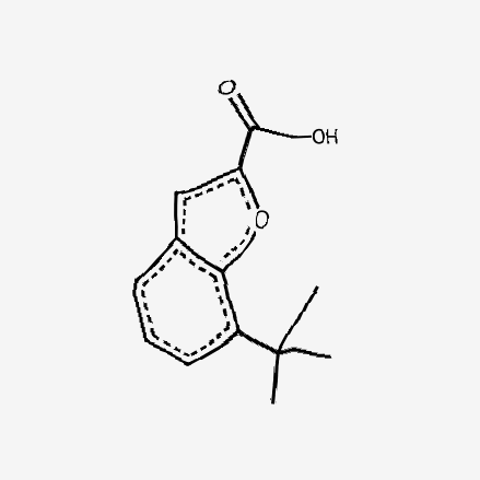 CC(C)(C)c1cccc2cc(C(=O)O)oc12